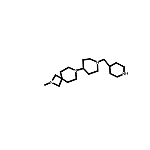 CN1CC2(CCN(C3CCN(CC4CCNCC4)CC3)CC2)C1